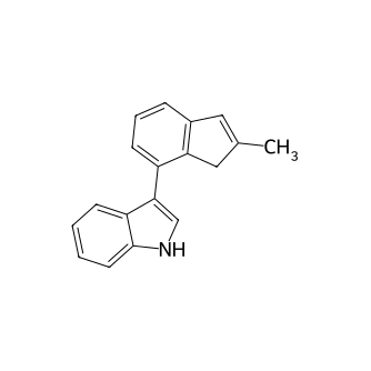 CC1=Cc2cccc(-c3c[nH]c4ccccc34)c2C1